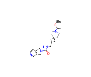 C=C(OC(C)(C)C)N1CCC2(CC1)CC(CNC(=O)N1Cc3ccncc3C1)C2